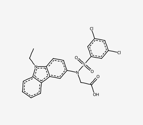 CCn1c2ccccc2c2cc(N(CC(=O)O)S(=O)(=O)c3cc(Cl)cc(Cl)c3)ccc21